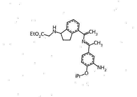 C=C(/N=C(\C)c1ccc(OC(C)C)c(N)c1)c1cccc2c1CCC2NCC(=O)OCC